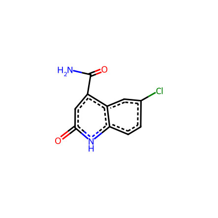 NC(=O)c1cc(=O)[nH]c2ccc(Cl)cc12